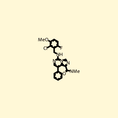 CNC(=O)c1ncn2c(NCc3c(F)ccc(OC)c3Cl)ncc(-c3ccccc3)c12